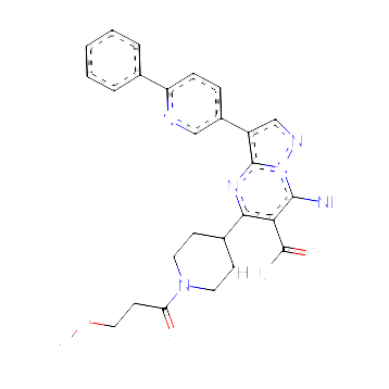 COCCC(=O)N1CCC(c2nc3c(-c4ccc(-c5ccccc5)nc4)cnn3c(N)c2C(C)=O)CC1